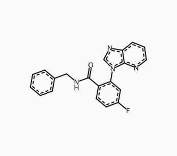 O=C(NCc1ccccc1)c1ccc(F)cc1-n1cnc2cccnc21